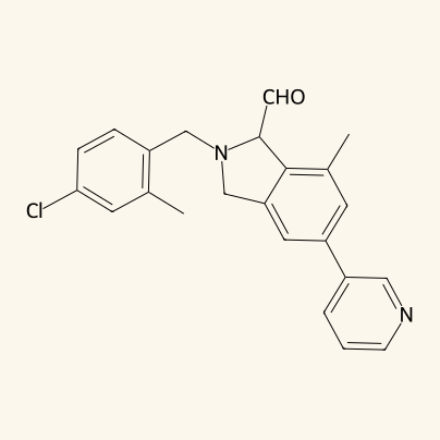 Cc1cc(Cl)ccc1CN1Cc2cc(-c3cccnc3)cc(C)c2C1C=O